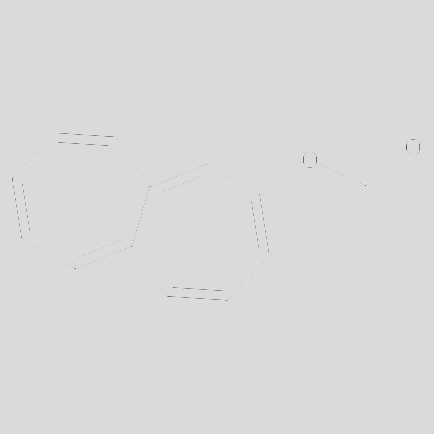 O=[C]OC1=CC=CC2=CC=CC=CC2=C1